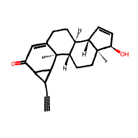 C#CC1C2C(=O)C=C3CC[C@H]4[C@@H]5C=C[C@@H](O)[C@@]5(C)CC[C@@H]4[C@@]3(C)C12